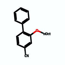 CCCCCCCCOc1cc(C#N)ccc1-c1ccccc1